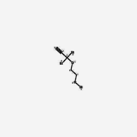 [C]#CC(CC)(CC)OCCOCC